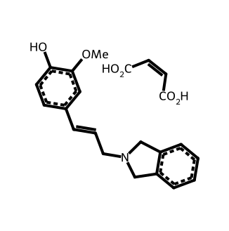 COc1cc(/C=C/CN2Cc3ccccc3C2)ccc1O.O=C(O)/C=C\C(=O)O